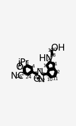 CC(C)Oc1ccc(-c2nc(-c3cccc4c3C[C@@H](NCCO)C4)no2)cc1C#N